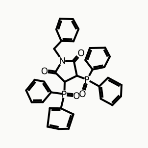 O=C1C(P(=O)(c2ccccc2)c2ccccc2)C(P(=O)(c2ccccc2)c2ccccc2)C(=O)N1Cc1ccccc1